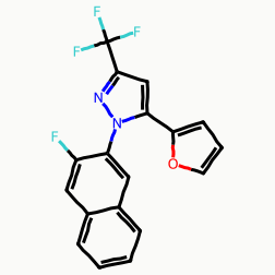 Fc1cc2ccccc2cc1-n1nc(C(F)(F)F)cc1-c1ccco1